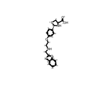 O=C(O)C1CS[C@H](c2ccc(OCCNCc3nc4ccccc4o3)cc2)N1